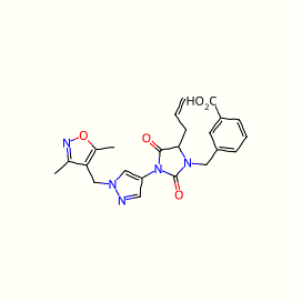 C=CCC1C(=O)N(c2cnn(Cc3c(C)noc3C)c2)C(=O)N1Cc1cccc(C(=O)O)c1